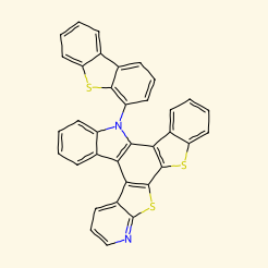 c1ccc2c(c1)sc1c(-n3c4ccccc4c4c5c6cccnc6sc5c5sc6ccccc6c5c43)cccc12